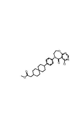 COC(=O)CC1CCC2(CC1)CCC(c1ccc(N3CCOc4ncnc(Cl)c4C3=O)cc1)CC2